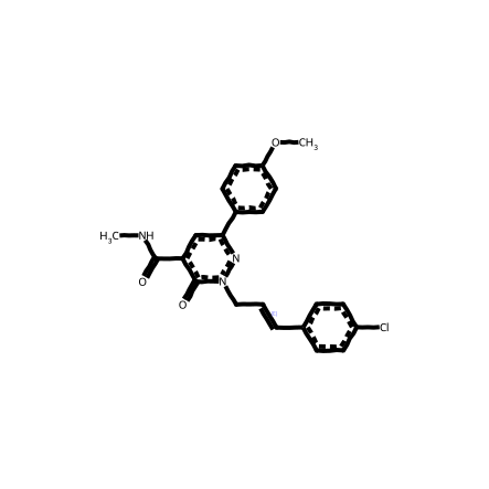 CNC(=O)c1cc(-c2ccc(OC)cc2)nn(C/C=C/c2ccc(Cl)cc2)c1=O